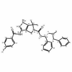 CN(Cc1ccccc1)C[C@@H](OC(=O)N1Cc2c(NC(=O)c3ccc(F)cc3)n[nH]c2C1(C)C)c1ccccc1